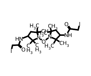 CC1(C)CC(NC(=O)CI)C(C)(C)N1ON1C(C)(C)CC(NC(=O)CI)C1(C)C